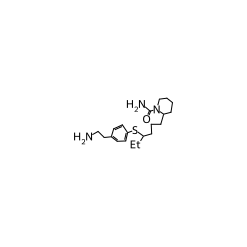 CCC(CCCC1CCCCN1C(N)=O)Sc1ccc(CCN)cc1